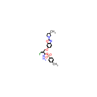 Cc1ccc(S(=O)(=O)OC(N)/C(=C\F)COc2ccc3nc(N4CCC(C)C4)oc3c2)cc1